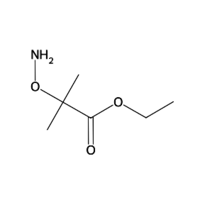 CCOC(=O)C(C)(C)ON